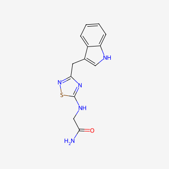 NC(=O)CNc1nc(Cc2c[nH]c3ccccc23)ns1